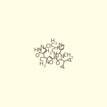 CC(c1cc(NC(=O)C(C(C2CC2)C2CC2)N(C)C(=O)c2ccnn2C(C)C)on1)c1cc(Cl)n[nH]c1=O